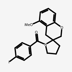 COc1cccc2c1CC1(CCCN1C(=O)c1ccc(I)cc1)CO2